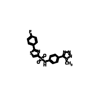 Cn1nnnc1-c1ccc(NS(=O)(=O)c2csc(-c3ccc(F)cc3)n2)cc1